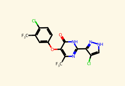 O=c1[nH]c(-c2n[nH]cc2Cl)nc(C(F)(F)F)c1Oc1ccc(Cl)c(C(F)(F)F)c1